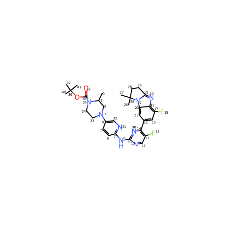 CC1CN(c2ccc(Nc3ncc(F)c(-c4cc(F)c5nc6n(c5c4)C(C)(C)CC6)n3)nc2)CCN1C(=O)OC(C)(C)C